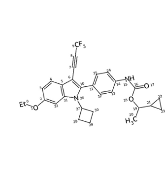 CCOc1ccc2c(C#CC(F)(F)F)c(-c3ccc(NC(=O)OC(C)C4CC4)cc3)n(C3CCC3)c2c1